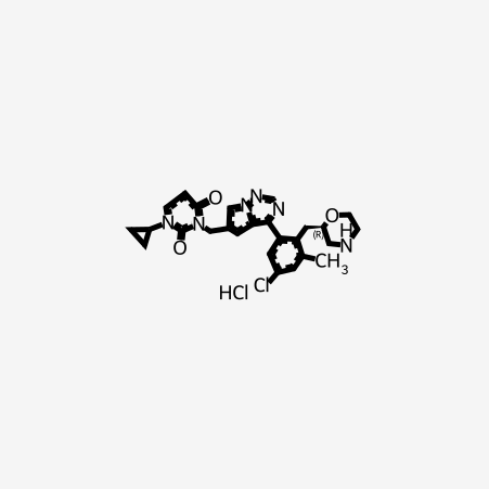 Cc1cc(Cl)cc(-c2ncnn3cc(Cn4c(=O)ccn(C5CC5)c4=O)cc23)c1C[C@@H]1CNCCO1.Cl